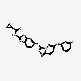 O=C(Nc1nc2ccc(Sc3nnc4ccc(Oc5cccc(F)c5)nn34)cc2s1)C1CC1